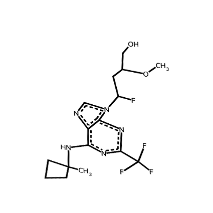 COC(CO)CC(F)n1cnc2c(NC3(C)CCC3)nc(C(F)(F)F)nc21